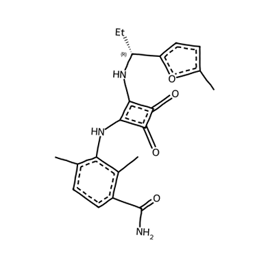 CC[C@@H](Nc1c(Nc2c(C)ccc(C(N)=O)c2C)c(=O)c1=O)c1ccc(C)o1